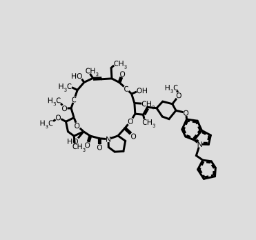 CCC1/C=C(\C)C(O)C(C)CC(OC)C2OC(O)(C(=O)C(=O)N3CCCCC3C(=O)OC(C(C)=CC3CCC(Oc4ccc5c(ccn5Cc5ccccc5)c4)C(OC)C3)C(C)C(O)CC1=O)C(C)CC2OC